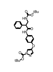 CC(C)(C)OC(=O)NCC(C(=O)Nc1ccc(Oc2cnn(C(=O)OC(C)(C)C)c2)cc1)c1ccccc1